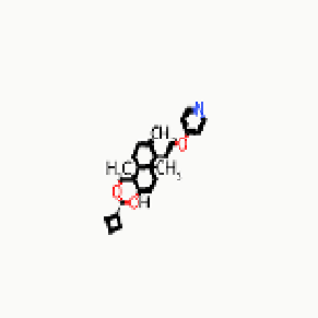 C=C1CCC2[C@]3(C)CO[C@@H](C4CCC4)O[C@@H]3CC[C@@]2(C)[C@@H]1CCOc1ccncc1